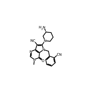 Cn1cnc2c(C#N)c(N3CCC[C@H](N)C3)n(Cc3ccccc3C#N)c2c1=O